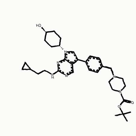 CC(C)(C)OC(=O)N1CCN(Cc2ccc(-c3cn([C@H]4CC[C@H](O)CC4)c4nc(NCCC5CC5)ncc34)cc2)CC1